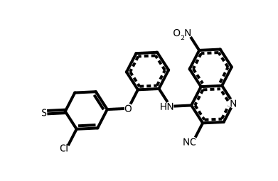 N#Cc1cnc2ccc([N+](=O)[O-])cc2c1Nc1ccccc1OC1=CCC(=S)C(Cl)=C1